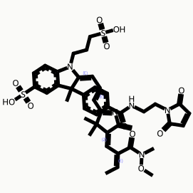 C=C1N=C(/C=C/C=C2/N(CCCS(=O)(=O)O)c3ccc(S(=O)(=O)O)cc3C2(C)c2ccc(C(=O)NCCN3C(=O)C=CC3=O)cc2)C(C)(C)/C1=C/C(=C\C)C(=O)N(C)OC